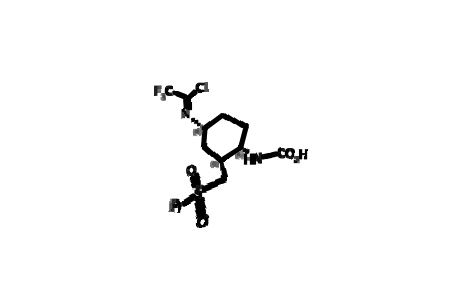 CC(C)S(=O)(=O)C[C@H]1C[C@H](N=C(Cl)C(F)(F)F)CC[C@@H]1NC(=O)O